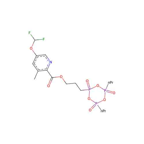 CCCP1(=O)OP(=O)(CCC)OP(=O)(CCCOC(=O)c2ncc(OC(F)F)cc2C)O1